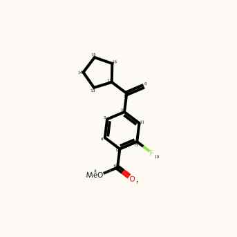 C=C(c1ccc(C(=O)OC)c(F)c1)C1CCCC1